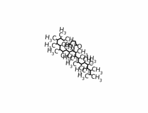 CCC(C)C(C)C(C)C(C)C(C)C(C)C(C)C(C)C(C(C)C(C)C(C)C(C)C(C)C(C)C(C)C(C)C(C)C(C)C)N1C(=O)CCC1=O